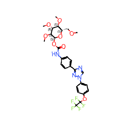 COC[C@@H]1O[C@@H](OC(=O)Nc2ccc(-c3ncn(-c4ccc(OC(F)(F)C(F)(F)F)cc4)n3)cc2)[C@@H](OC)[C@H](OC)[C@H]1OC